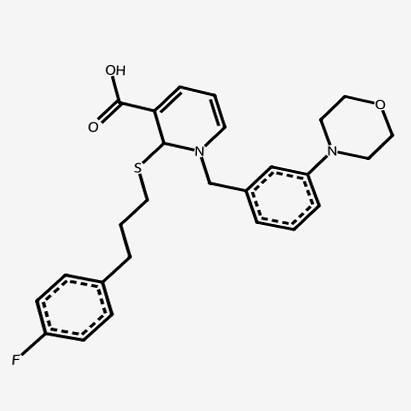 O=C(O)C1=CC=CN(Cc2cccc(N3CCOCC3)c2)C1SCCCc1ccc(F)cc1